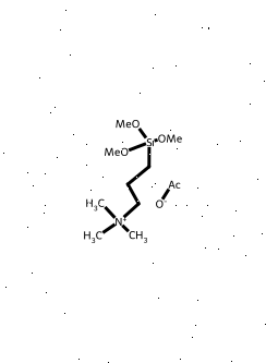 CC(=O)[O-].CO[Si](CCC[N+](C)(C)C)(OC)OC